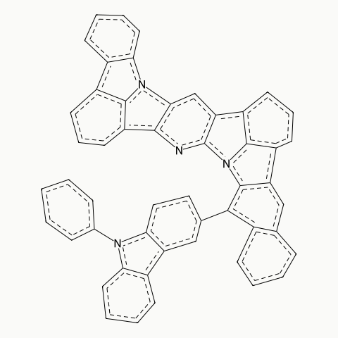 c1ccc(-n2c3ccccc3c3cc(-c4c5ccccc5cc5c6cccc7c8cc9c(nc8n(c45)c76)c4cccc5c6ccccc6n9c54)ccc32)cc1